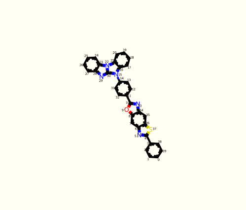 c1ccc(-c2nc3cc4oc(-c5ccc(-n6c7ccccc7n7c8ccccc8nc67)cc5)nc4cc3s2)cc1